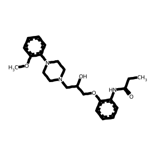 CCC(=O)Nc1ccccc1OCC(O)CN1CCN(c2ccccc2OC)CC1